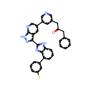 O=C(Cc1ccccc1)Cc1cncc(-c2cnc3[nH]nc(-c4nc5c(-c6cccc(F)c6)cccc5[nH]4)c3c2)c1